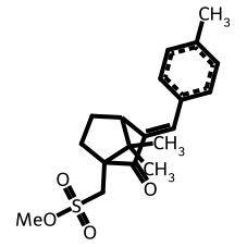 COS(=O)(=O)CC12CCC(/C(=C\c3ccc(C)cc3)C1=O)C2(C)C